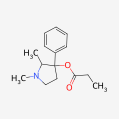 CCC(=O)OC1(c2ccccc2)CCN(C)C1C